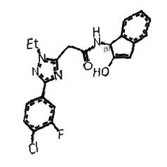 CCn1nc(-c2ccc(Cl)c(F)c2)nc1CC(=O)N[C@@H]1C(O)=Cc2ccccc21